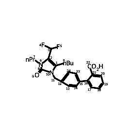 CCCCc1c(C(F)F)n(CCC)c(=O)n1Cc1ccc(-c2ccccc2C(=O)O)cc1